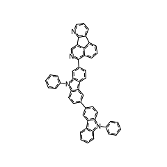 c1ccc(-n2c3ccccc3c3cc(-c4ccc5c(c4)c4ccc(-c6ncc7c8c(cccc68)-c6cccnc6-7)cc4n5-c4ccccc4)ccc32)cc1